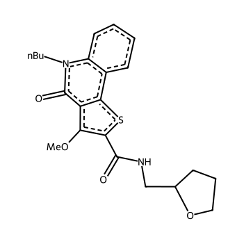 CCCCn1c(=O)c2c(OC)c(C(=O)NCC3CCCO3)sc2c2ccccc21